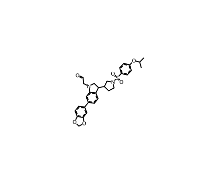 CC(C)Oc1ccc(S(=O)(=O)N2CCC(C3CN(CC=O)c4cc(-c5ccc6c(c5)OCO6)ccc43)C2)cc1